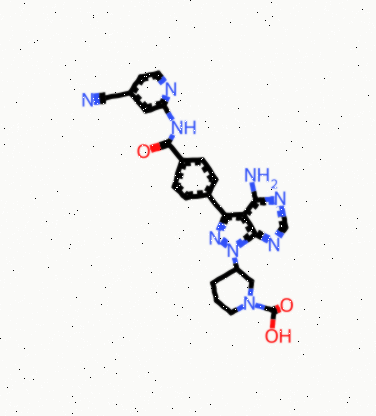 N#Cc1ccnc(NC(=O)c2ccc(-c3nn(C4CCCN(C(=O)O)C4)c4ncnc(N)c34)cc2)c1